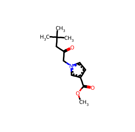 COC(=O)c1ccn(CC(=O)CC(C)(C)C)c1